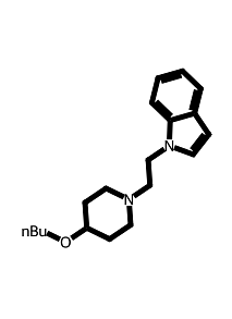 CCCCOC1CCN(CCn2ccc3ccccc32)CC1